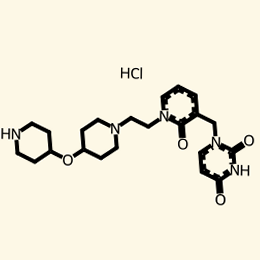 Cl.O=c1ccn(Cc2cccn(CCN3CCC(OC4CCNCC4)CC3)c2=O)c(=O)[nH]1